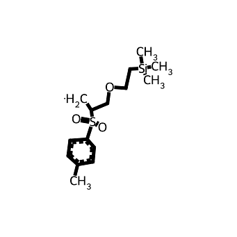 [CH2]C(COCC[Si](C)(C)C)S(=O)(=O)c1ccc(C)cc1